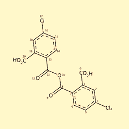 O=C(O)c1cc(Cl)ccc1C(=O)OC(=O)c1ccc(Cl)cc1C(=O)O